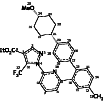 CCOC(=O)c1cnn(-c2cccc(-c3cc(C)ccc3-c3ccc([C@H]4CC[C@@H](OC)CC4)cc3)n2)c1C(F)(F)F